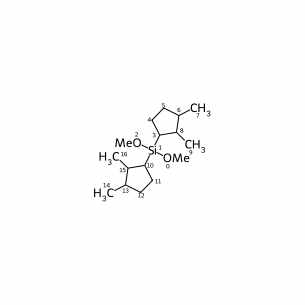 CO[Si](OC)(C1CCC(C)C1C)C1CCC(C)C1C